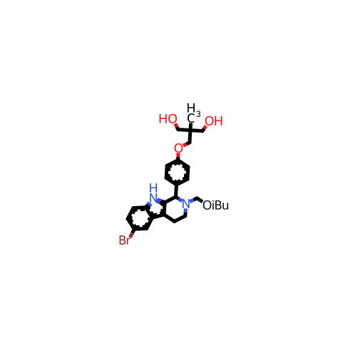 CC(C)COCN1CCc2c([nH]c3ccc(Br)cc23)C1c1ccc(OCC(C)(CO)CO)cc1